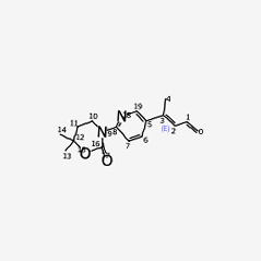 C=C/C=C(\C)c1ccc(N2CCC(C)(C)OC2=O)nc1